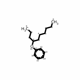 CCCCCCC(CCC)Oc1ccccc1